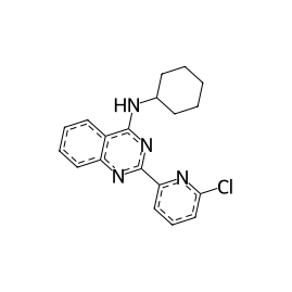 Clc1cccc(-c2nc(NC3CCCCC3)c3ccccc3n2)n1